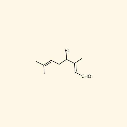 CCC(CC=C(C)C)/C(C)=C/C=O